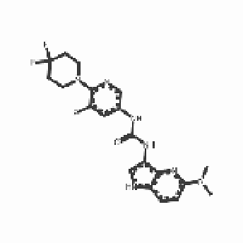 CN(C)c1ccc2[nH]cc(NC(=O)Nc3cnc(N4CCC(F)(F)CC4)c(F)c3)c2n1